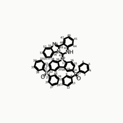 O=P(c1ccccc1)(c1ccccc1)c1ccc2c(c1)c1cc(P(=O)(c3ccccc3)c3ccccc3)ccc1n2C1Nc2ccccc2-c2nc3ccccc3n21